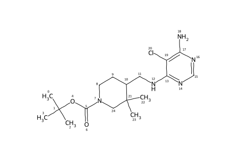 CC(C)(C)OC(=O)N1CCC(CNc2ncnc(N)c2Cl)C(C)(C)C1